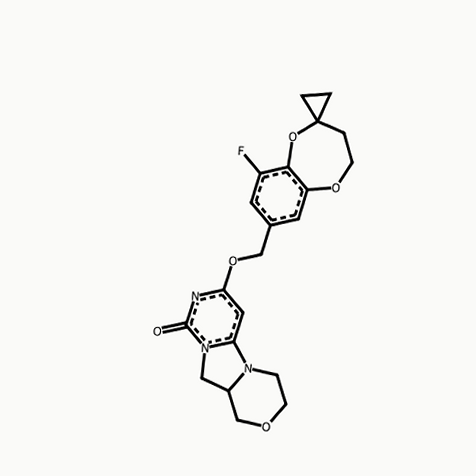 O=c1nc(OCc2cc(F)c3c(c2)OCCC2(CC2)O3)cc2n1CC1COCCN21